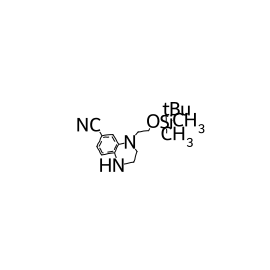 CC(C)(C)[Si](C)(C)OCCN1CCNc2ccc(C#N)cc21